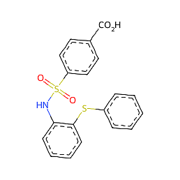 O=C(O)c1ccc(S(=O)(=O)Nc2ccccc2Sc2ccccc2)cc1